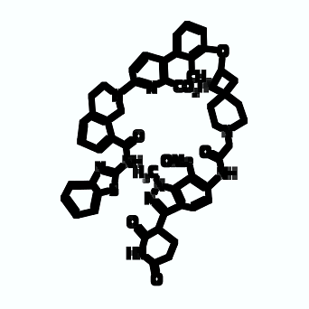 COc1c(NC(=O)CN2CCC3(CC2)CC(Oc2cccc(-c4ccc(N5CCc6cccc(C(=O)Nc7nc8ccccc8s7)c6C5)nc4C(=O)O)c2C)C3)ccc2c(C3CCC(=O)NC3=O)nn(C)c12